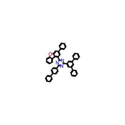 c1ccc(-c2ccc(-c3nc(-c4cc(-c5ccccc5)cc(-c5ccccc5)c4)nc(-c4cc(-c5ccccc5)cc5oc6ccccc6c45)n3)cc2)cc1